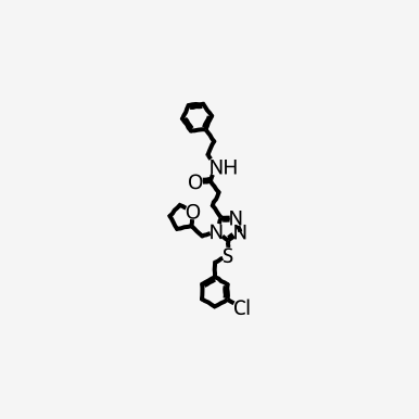 O=C(CCc1nnc(SCC2=CCCC(Cl)=C2)n1CC1CCCO1)NCCc1ccccc1